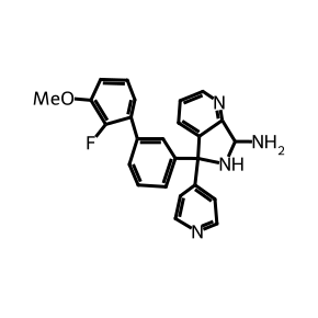 COc1cccc(-c2cccc(C3(c4ccncc4)NC(N)c4ncccc43)c2)c1F